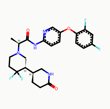 C[C@@H](C(=O)Nc1ccc(Oc2ccc(F)cc2F)cn1)N1CCC(F)(F)[C@@H]([C@@H]2CCC(=O)NC2)C1